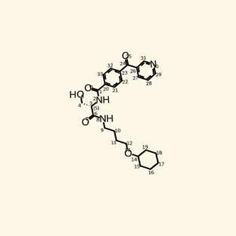 O=C(N[C@@H](CO)C(=O)NCCCCOC1CCCCC1)c1ccc(C(=O)c2cccnc2)cc1